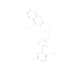 COc1ccc(Cl)cc1-c1noc(CN2CCc3nc4ccccc4c(C(=O)O)c3C2)n1